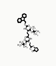 CC(C)(C)OC(=O)[C@@H](CCC(=O)ON1CCCC1=O)NC(=O)CC[C@@H](NC(=O)OCC1c2ccccc2-c2ccccc21)C(=O)OC(C)(C)C